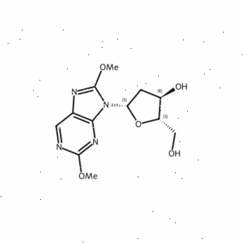 COc1ncc2nc(OC)n([C@@H]3C[C@@H](O)[C@H](CO)O3)c2n1